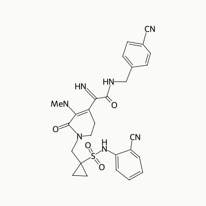 CNC1=C(C(=N)C(=O)NCc2ccc(C#N)cc2)CCN(CC2(S(=O)(=O)Nc3ccccc3C#N)CC2)C1=O